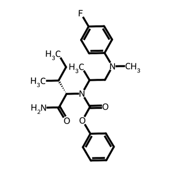 CCC(C)[C@@H](C(N)=O)N(C(=O)Oc1ccccc1)C(C)CN(C)c1ccc(F)cc1